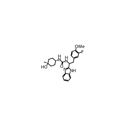 COc1ccc(CC(NC(=O)N[C@H]2CC[C@](C)(O)CC2)c2nc3ccccc3[nH]2)cc1F